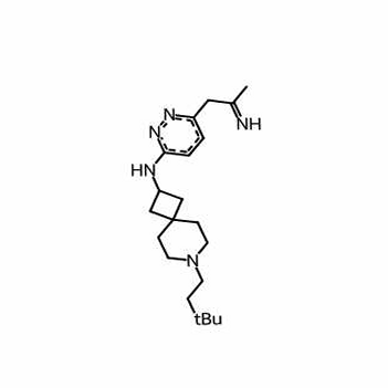 CC(=N)Cc1ccc(NC2CC3(CCN(CCC(C)(C)C)CC3)C2)nn1